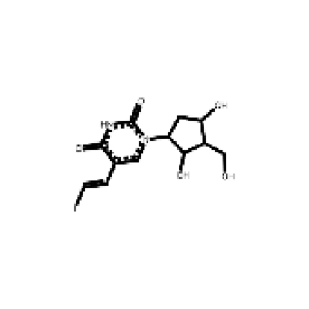 O=c1[nH]c(=O)n(C2CC(O)C(CO)C2O)cc1/C=C/I